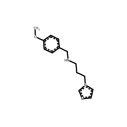 COc1ccc(CNCCCn2ccnc2)cc1